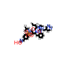 CC[C@H](C)[C@@H](C(=O)N[C@@H](Cc1ccccc1)[C@@H](O)CN(CC(C)C)S(=O)(=O)c1ccc(C=NO)cc1)N1CCN(Cc2ccnnc2)C1=O